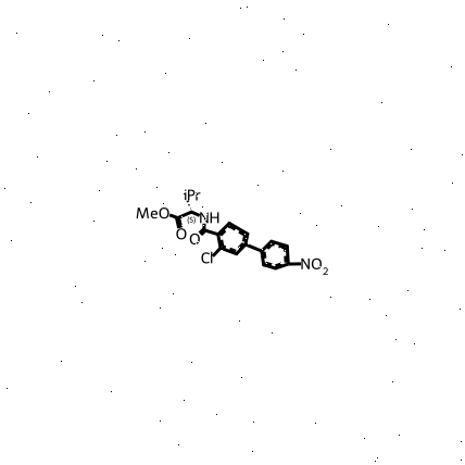 COC(=O)[C@@H](NC(=O)c1ccc(-c2ccc([N+](=O)[O-])cc2)cc1Cl)C(C)C